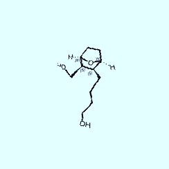 OCCCC[C@H]1[C@@H](CO)[C@H]2CC[C@@H]1O2